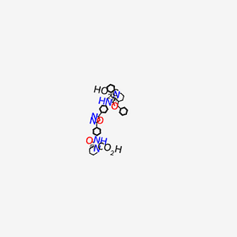 O=C(Nc1ccc(-c2nnc(-c3ccc(NC(=O)[C@@]4(Cc5ccccc5)C(Cc5ccccc5)CCCN4C(=O)O)cc3)o2)cc1)[C@H]1CCCCN1C(=O)O